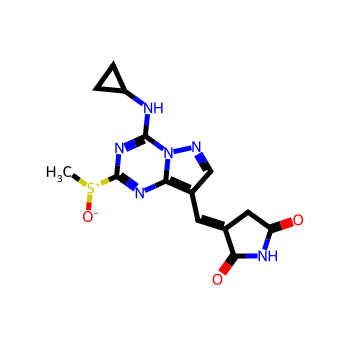 C[S+]([O-])c1nc(NC2CC2)n2ncc(C=C3CC(=O)NC3=O)c2n1